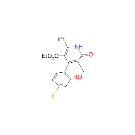 CCOC(=O)c1c(C(C)C)[nH]c(=O)c(CO)c1-c1ccc(F)cc1